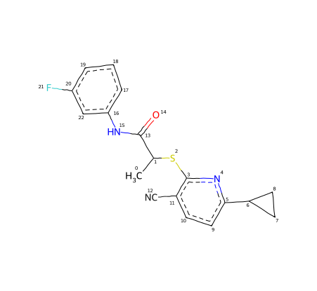 CC(Sc1nc(C2CC2)ccc1C#N)C(=O)Nc1cccc(F)c1